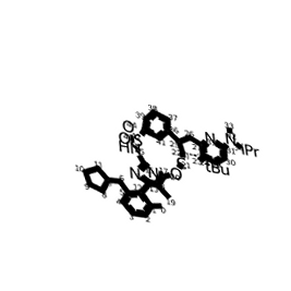 Cc1cccc(CC2CCCC2)c1-c1nc2nc(c1C)OC[C@@H](CC(C)(C)C)C(Cc1cccc(N(C)C(C)C)n1)c1cccc(c1)S(=O)(=O)N2